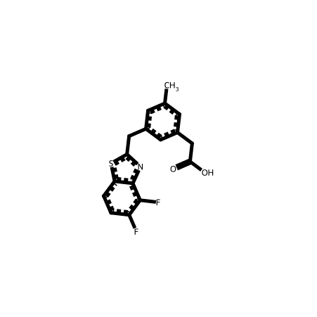 Cc1cc(CC(=O)O)cc(Cc2nc3c(F)c(F)ccc3s2)c1